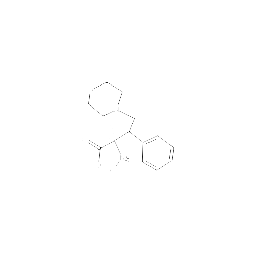 N[C@](C(=O)O)(C(CN1CCOCC1)c1ccccc1)[N+](=O)[O-]